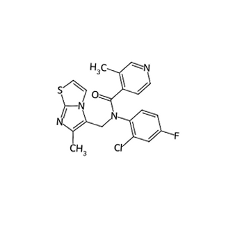 Cc1cnccc1C(=O)N(Cc1c(C)nc2sccn12)c1ccc(F)cc1Cl